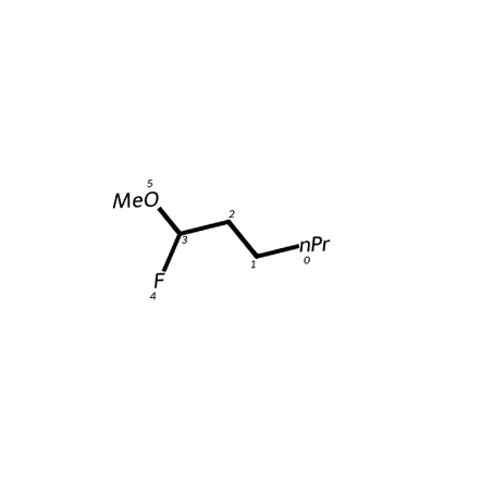 CCCCCC(F)OC